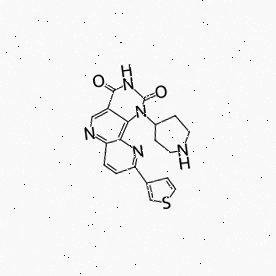 O=c1[nH]c(=O)n(C2CCNCC2)c2c1cnc1ccc(-c3ccsc3)nc12